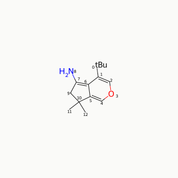 CC(C)(C)C1=COC=C2C1=C(N)CC2(C)C